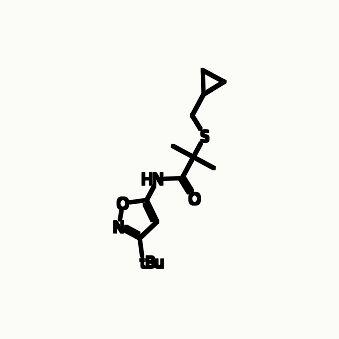 CC(C)(SCC1CC1)C(=O)Nc1cc(C(C)(C)C)no1